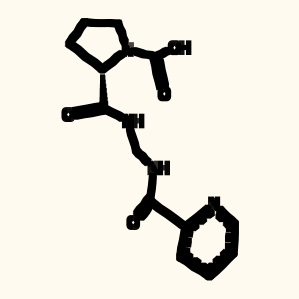 O=C(NCNC(=O)[C@@H]1CCCN1C(=O)O)c1ccccn1